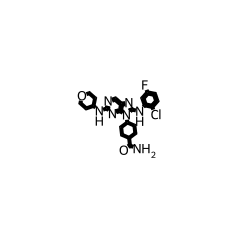 NC(=O)C1CCC(n2c(Nc3cc(F)ccc3Cl)nc3cnc(NC4CCOCC4)nc32)CC1